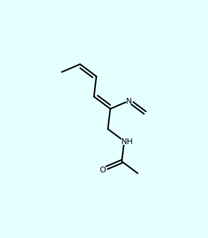 C=N/C(=C\C=C/C)CNC(C)=O